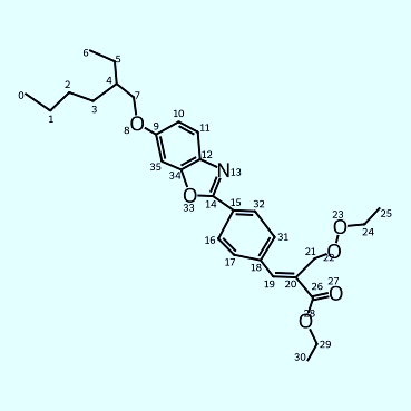 CCCCC(CC)COc1ccc2nc(-c3ccc(/C=C(\COOCC)C(=O)OCC)cc3)oc2c1